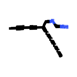 C=C=C=C=C=C(C#CC#CC)/C=N\C=N